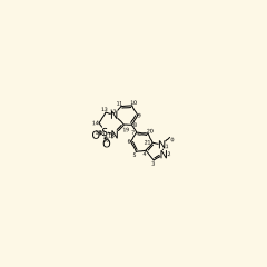 Cn1ncc2ccc(C3=CC=CN4CCS(=O)(=O)N=C34)cc21